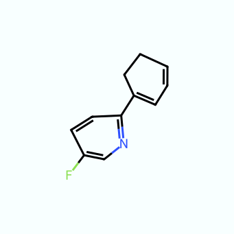 Fc1ccc(C2=CC=CCC2)nc1